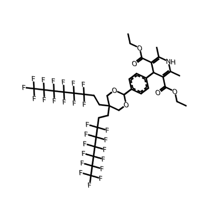 CCOC(=O)C1=C(C)NC(C)=C(C(=O)OCC)C1c1ccc(C2OCC(CCC(F)(F)C(F)(F)C(F)(F)C(F)(F)C(F)(F)C(F)(F)F)(CCC(F)(F)C(F)(F)C(F)(F)C(F)(F)C(F)(F)C(F)(F)F)CO2)cc1